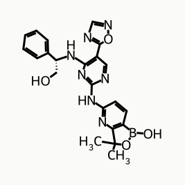 CC1(C)OB(O)c2ccc(Nc3ncc(-c4ncno4)c(N[C@H](CO)c4ccccc4)n3)nc21